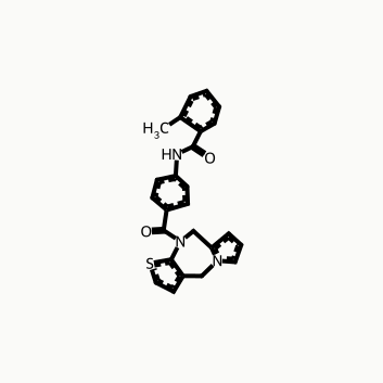 Cc1ccccc1C(=O)Nc1ccc(C(=O)N2Cc3cccn3Cc3ccsc32)cc1